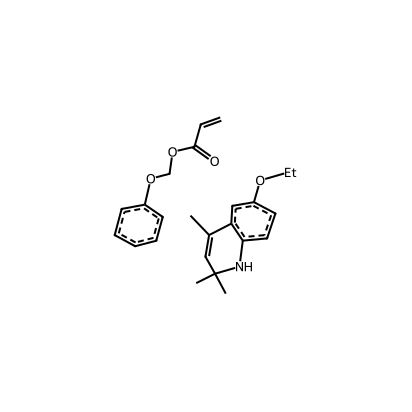 C=CC(=O)OCOc1ccccc1.CCOc1ccc2c(c1)C(C)=CC(C)(C)N2